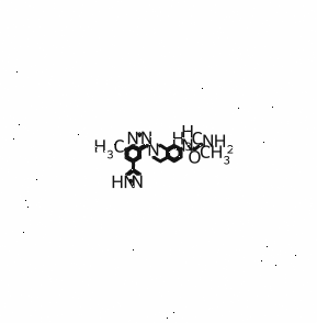 Cc1cc(-c2cn[nH]c2)cc2c(N3CCc4ccc(NC(=O)C(C)(C)N)cc4C3)ncnc12